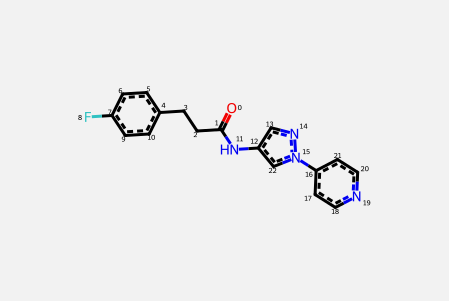 O=C(CCc1ccc(F)cc1)Nc1cnn(-c2ccncc2)c1